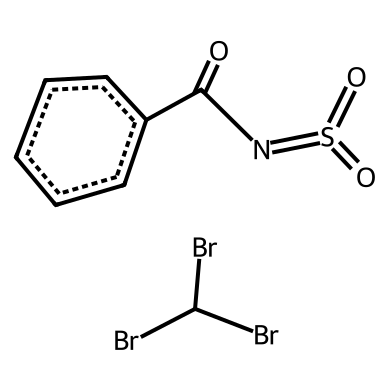 BrC(Br)Br.O=C(N=S(=O)=O)c1ccccc1